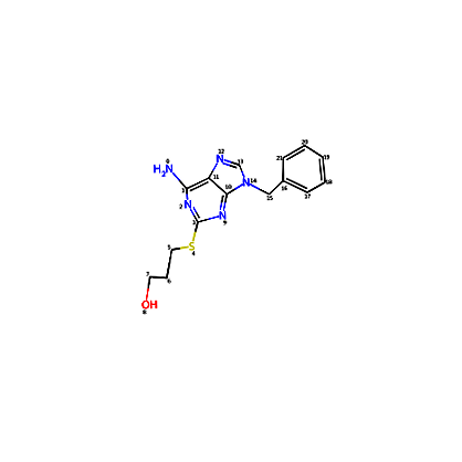 Nc1nc(SCCCO)nc2c1ncn2Cc1ccccc1